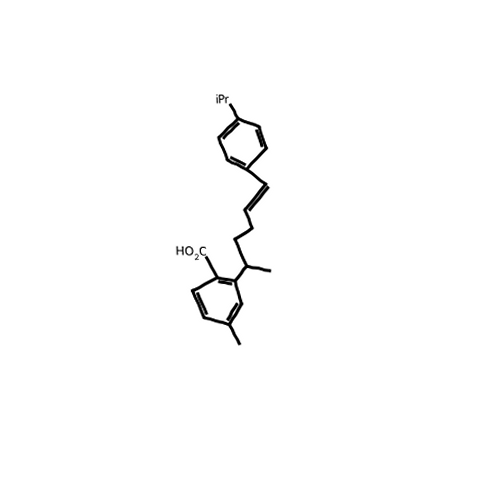 Cc1ccc(C(=O)O)c(C(C)CCC=Cc2ccc(C(C)C)cc2)c1